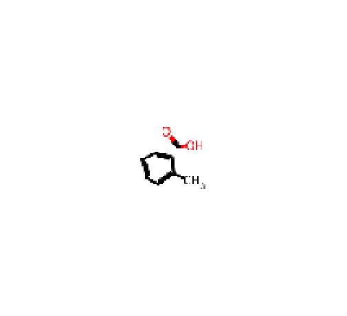 Cc1ccccc1.O=CO